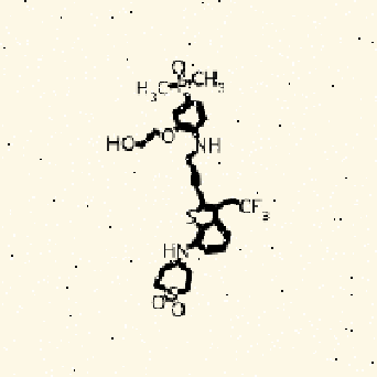 CP(C)(=O)c1ccc(NCC#Cc2sc3c(NC4CCS(=O)(=O)CC4)cccc3c2CC(F)(F)F)c(OCCO)c1